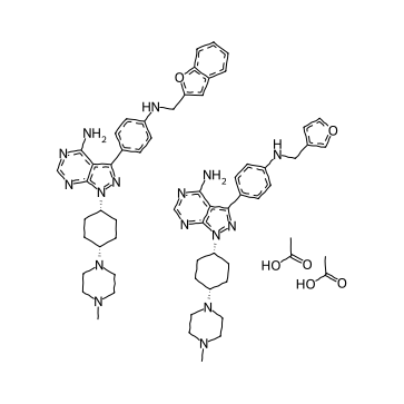 CC(=O)O.CC(=O)O.CN1CCN([C@H]2CC[C@@H](n3nc(-c4ccc(NCc5cc6ccccc6o5)cc4)c4c(N)ncnc43)CC2)CC1.CN1CCN([C@H]2CC[C@@H](n3nc(-c4ccc(NCc5ccoc5)cc4)c4c(N)ncnc43)CC2)CC1